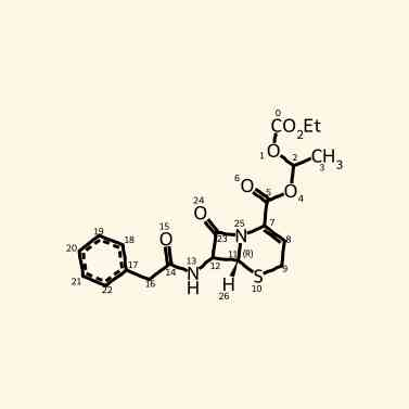 CCOC(=O)OC(C)OC(=O)C1=CCS[C@@H]2C(NC(=O)Cc3ccccc3)C(=O)N12